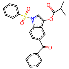 CC(C)C(=O)Oc1cn(S(=O)(=O)c2ccccc2)c2ccc(C(=O)c3ccccc3)cc12